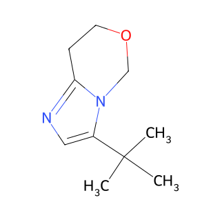 CC(C)(C)c1cnc2n1COCC2